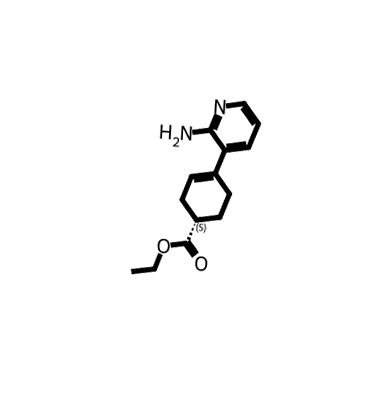 CCOC(=O)[C@@H]1CC=C(c2cccnc2N)CC1